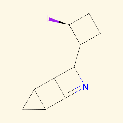 I[C@H]1CCC1C1N=C2C3CC3C21